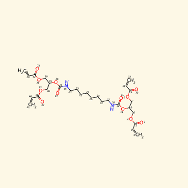 C=CC(=O)OCC(COC(=O)C=C)OC(=O)NCCCCCCCCNC(=O)OC(COC(=O)C=C)COC(=O)C=C